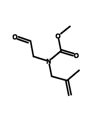 C=C(C)CN(CC=O)C(=O)OC